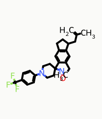 C=C(C)CC1CCc2cc(C3(N=O)CCN(c4ccc(C(F)(F)F)cc4)CC3)c(CC)cc21